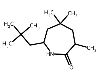 CC1CC(C)(C)CC(CC(C)(C)C)NC1=O